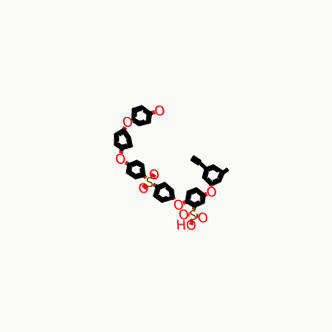 C#Cc1cc(C)cc(Oc2ccc(Oc3ccc(S(=O)(=O)c4ccc(Oc5ccc(Oc6ccc(OC)cc6)cc5)cc4)cc3)c(S(=O)(=O)O)c2)c1